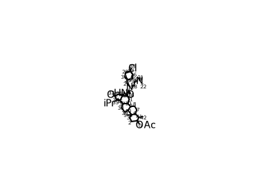 CC(=O)OC1CCC2(C)C(CCC3C4CCC5(NC(=O)N(CCN(C)C)Cc6ccc(Cl)cc6)CC(=O)C(C(C)C)=C5C4CCC32)C1C